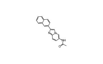 CC(=O)Nc1ccc2nc(-c3ccc4ccccc4c3)cn2c1